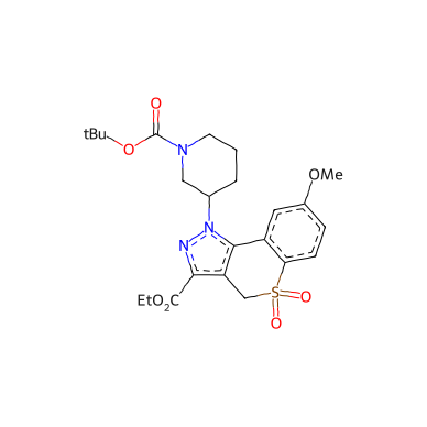 CCOC(=O)c1nn(C2CCCN(C(=O)OC(C)(C)C)C2)c2c1CS(=O)(=O)c1ccc(OC)cc1-2